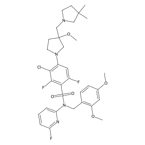 COc1ccc(CN(c2cccc(F)n2)S(=O)(=O)c2c(F)cc(N3CCC(CN4CCC(C)(C)C4)(OC)C3)c(Cl)c2F)c(OC)c1